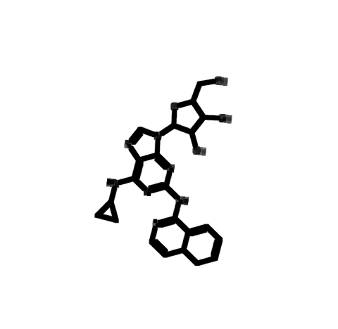 OCC1OC(n2cnc3c(NC4CC4)nc(NC4=NC=CC5CC=CC=C45)nc32)C(O)C1O